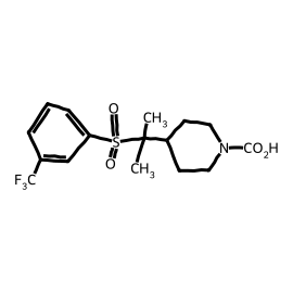 CC(C)(C1CCN(C(=O)O)CC1)S(=O)(=O)c1cccc(C(F)(F)F)c1